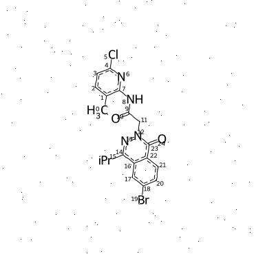 Cc1ccc(Cl)nc1NC(=O)Cn1nc(C(C)C)c2cc(Br)ccc2c1=O